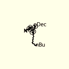 CCCC/C=C\C/C=C\CCCCCCCC(=O)O[C@H](COC(=O)CCCCCCCCCCC)COP(=O)([O-])OCC[N+](C)(C)C